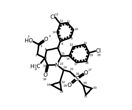 CC1(CC(=O)O)CC(c2cccc(Cl)c2)C(c2ccc(Cl)cc2)N(C(CS(=O)(=O)C2CC2)C2CC2)C1=O